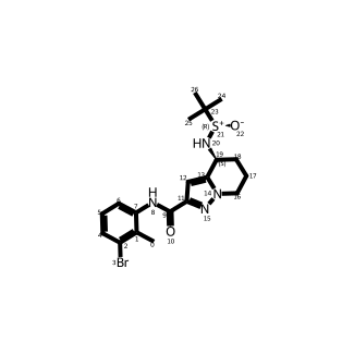 Cc1c(Br)cccc1NC(=O)c1cc2n(n1)CCC[C@@H]2N[S@@+]([O-])C(C)(C)C